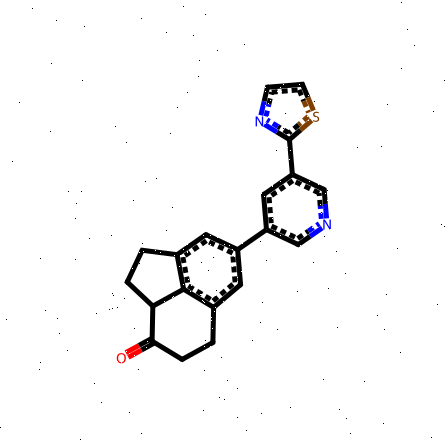 O=C1CCc2cc(-c3cncc(-c4nccs4)c3)cc3c2C1CC3